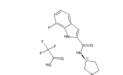 O=C(N[C@H]1CCNC1)c1cc2cccc(F)c2[nH]1.O=C(O)C(F)(F)F